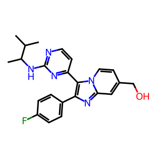 CC(C)C(C)Nc1nccc(-c2c(-c3ccc(F)cc3)nc3cc(CO)ccn23)n1